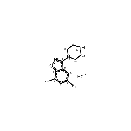 Cl.Fc1cc(F)c2onc(N3CCNCC3)c2c1